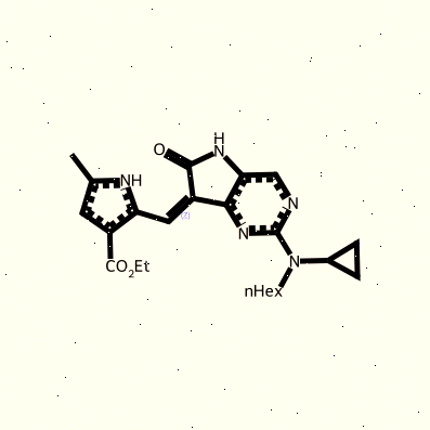 CCCCCCN(c1ncc2c(n1)/C(=C/c1[nH]c(C)cc1C(=O)OCC)C(=O)N2)C1CC1